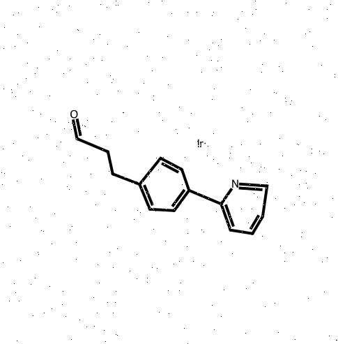 O=CCCc1ccc(-c2ccccn2)cc1.[Ir]